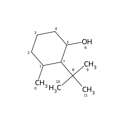 CC1CCCC(O)C1C(C)(C)C